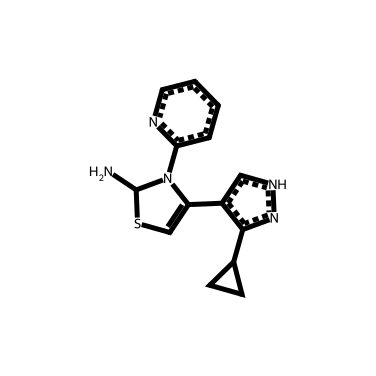 NC1SC=C(c2c[nH]nc2C2CC2)N1c1ccccn1